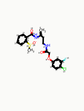 C=C(CCNC(=O)COc1ccc(Cl)c(F)c1)NC(=O)c1ccccc1[S+](C)[O-]